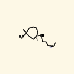 BC1(C)CCCCC(C)(BCC/C=C\C)CC1